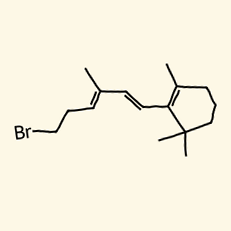 CC(C=CC1=C(C)CCCC1(C)C)=CCCBr